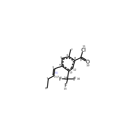 CC/C=C/c1cc(C)c(C(=O)Cl)cc1C(F)(F)F